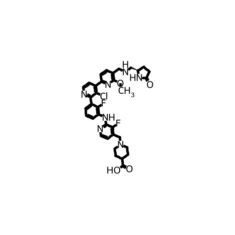 COc1nc(-c2ccnc(-c3cccc(Nc4nccc(CN5CCC(C(=O)O)CC5)c4F)c3F)c2Cl)ccc1CNC[C@H]1CCC(=O)N1